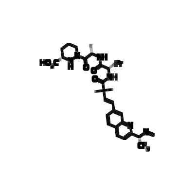 C=N[C@@H](c1ccc2ccc(/C=C/C(C)(C)C(=O)N[C@H](C(=O)N[C@@H](C)C(=O)N3CCC[C@@H](C(=O)O)N3)C(C)C)cc2n1)C(F)(F)F